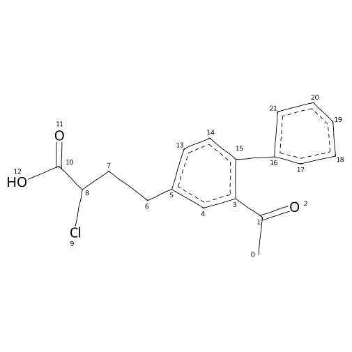 CC(=O)c1cc(CCC(Cl)C(=O)O)ccc1-c1ccccc1